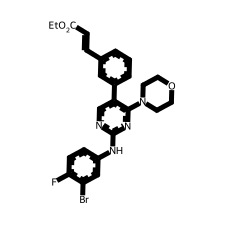 CCOC(=O)/C=C/c1cccc(-c2cnc(Nc3ccc(F)c(Br)c3)nc2N2CCOCC2)c1